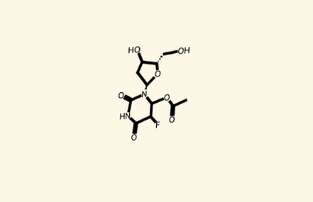 CC(=O)OC1C(F)C(=O)NC(=O)N1[C@@H]1CC(O)[C@H](CO)O1